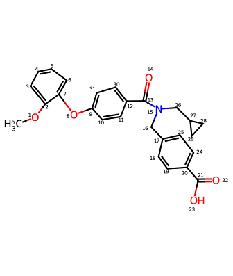 COc1ccccc1Oc1ccc(C(=O)N(Cc2ccc(C(=O)O)cc2)CC2CC2)cc1